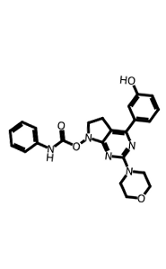 O=C(Nc1ccccc1)ON1CCc2c(-c3cccc(O)c3)nc(N3CCOCC3)nc21